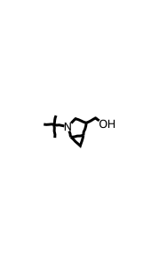 CC(C)(C)N1CC(CO)C2CC21